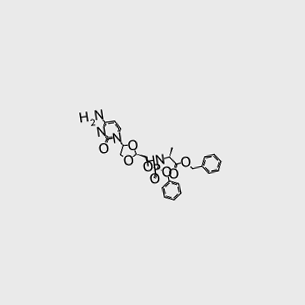 C[C@H](NP(=O)(OC[C@H]1OC[C@@H](n2ccc(N)nc2=O)O1)Oc1ccccc1)C(=O)OCc1ccccc1